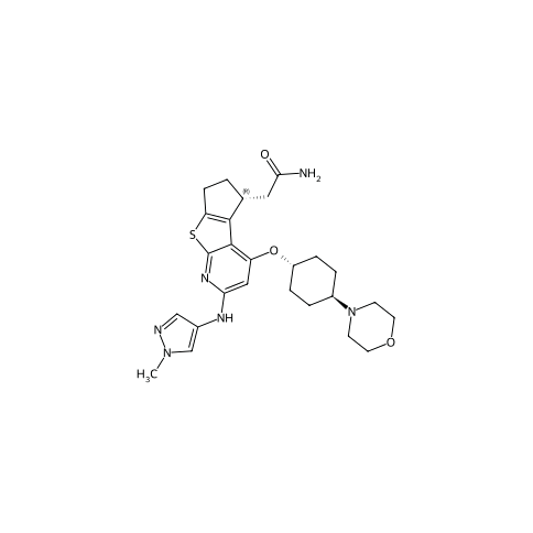 Cn1cc(Nc2cc(O[C@H]3CC[C@H](N4CCOCC4)CC3)c3c4c(sc3n2)CC[C@@H]4CC(N)=O)cn1